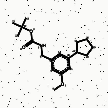 COc1cc(CNC(=O)OC(C)(C)C)cc(C2CCCC2)c1